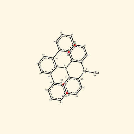 CC(C)(C)N1c2ccccc2N(c2c(-c3ccccc3)cccc2-c2ccccc2)c2ccccc21